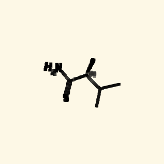 CC(C)[C@H](C)C(N)=S